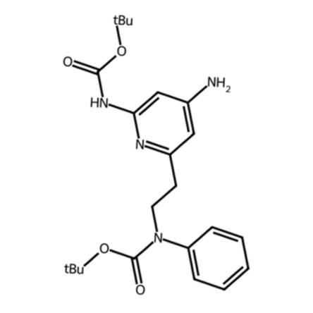 CC(C)(C)OC(=O)Nc1cc(N)cc(CCN(C(=O)OC(C)(C)C)c2ccccc2)n1